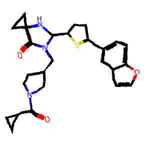 O=C(C1CC1)N1CC[C@@H](CN2C(=O)C3(CC3)NC2C2CCC(C3=CC=C4OC=CC4C3)S2)C1